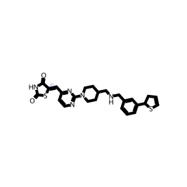 O=C1NC(=O)/C(=C/c2ccnc(N3CCC(CNCc4cccc(C5CC=CS5)c4)CC3)n2)S1